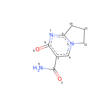 NC(=O)c1cn2c(nc1=O)CCC2